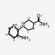 NC(=O)C1CCN(c2ncccc2N)CC1